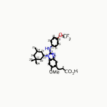 COc1cc2c(cc1CCC(=O)O)nc(Nc1ccc(OC(F)(F)F)cc1)n2[C@@H]1CC(C)CC(C)(C)C1